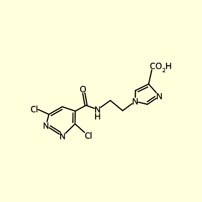 O=C(O)c1cn(CCNC(=O)c2cc(Cl)nnc2Cl)cn1